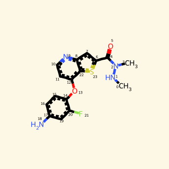 CNN(C)C(=O)c1cc2nccc(Oc3ccc(N)cc3F)c2s1